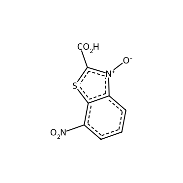 O=C(O)c1sc2c([N+](=O)[O-])cccc2[n+]1[O-]